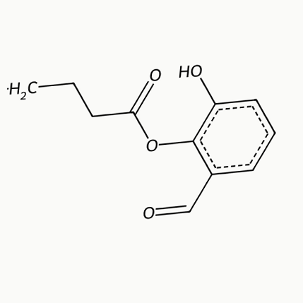 [CH2]CCC(=O)Oc1c(O)cccc1C=O